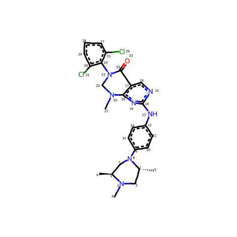 C[C@@H]1CN(C)[C@@H](C)CN1c1ccc(Nc2ncc3c(n2)N(C)CN(c2c(Cl)cccc2Cl)C3=O)cc1